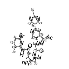 CCC[C@@]12C[C@@H](C(=O)Nc3nc(Br)ccc3C)N(C(=O)Cn3nc(C(C)=O)c4cc(-c5cnc(C)nc5)ncc43)[C@@H]1C2